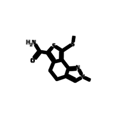 CSc1sc(C(N)=O)c2c1-c1nn(C)cc1CC2